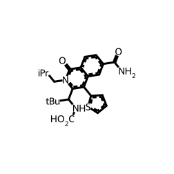 CC(C)Cn1c(C(NC(=O)O)C(C)(C)C)c(-c2cccs2)c2cc(C(N)=O)ccc2c1=O